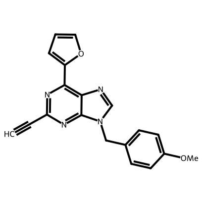 C#Cc1nc(-c2ccco2)c2ncn(Cc3ccc(OC)cc3)c2n1